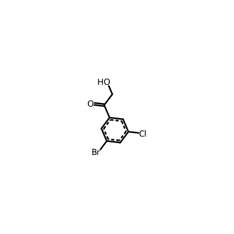 O=C(CO)c1cc(Cl)cc(Br)c1